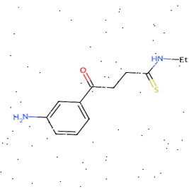 CCNC(=S)CCC(=O)c1cccc(N)c1